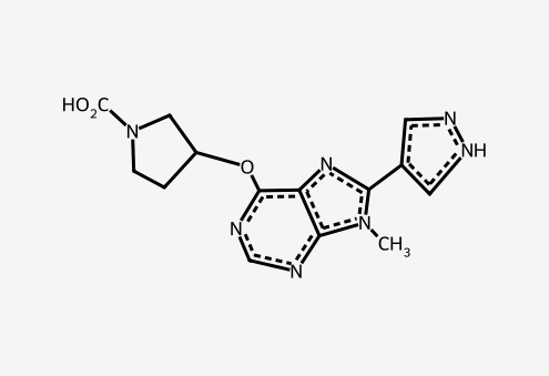 Cn1c(-c2cn[nH]c2)nc2c(OC3CCN(C(=O)O)C3)ncnc21